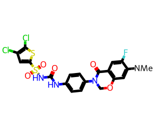 CNc1cc2c(cc1F)C(=O)N(c1ccc(NC(=O)NS(=O)(=O)c3cc(Cl)c(Cl)s3)cc1)CO2